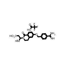 CCCCC(CC(=O)O)N1CCc2cc(OCc3ccc(C(=N)N)cc3)ccc2C1=O.O=C(O)C(F)(F)F